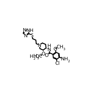 COc1cc(N)c(Cl)cc1C(=O)N[C@H]1CCN(CCCSc2ncn[nH]2)C[C@H]1OC.O